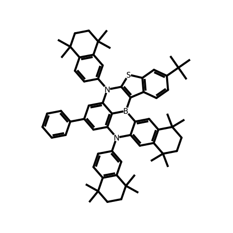 CC(C)(C)c1ccc2c3c(sc2c1)N(c1ccc2c(c1)C(C)(C)CCC2(C)C)c1cc(-c2ccccc2)cc2c1B3c1cc3c(cc1N2c1ccc2c(c1)C(C)(C)CCC2(C)C)C(C)(C)CCC3(C)C